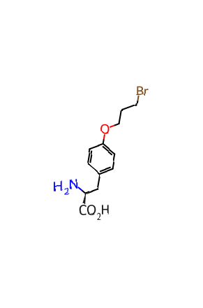 N[C@@H](Cc1ccc(OCCCBr)cc1)C(=O)O